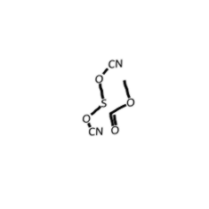 COC=O.N#COSOC#N